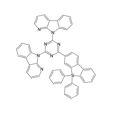 c1ccc([Si]2(c3ccccc3)c3ccccc3-c3ccc(-c4nc(-n5c6ccccc6c6cccnc65)nc(-n5c6ccccc6c6cccnc65)n4)cc32)cc1